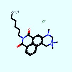 CN1C[N+](C)(C)Cc2c1cc1c3c(cccc23)C(=O)N(CCCCCC(=O)O)C1=O.[Cl-]